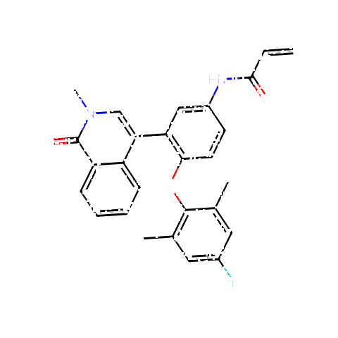 C=CC(=O)Nc1ccc(Oc2c(C)cc(F)cc2C)c(-c2cn(C)c(=O)c3ccccc23)c1